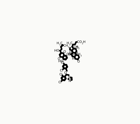 CC(C)=CC[C@H](O)C1=CC(=O)c2c(O)ccc(O)c2C1=O.C[C@H](CCC(=O)O)[C@H]1CC[C@H]2[C@@H]3C(=O)C[C@@H]4CC(=O)CC[C@]4(C)[C@H]3CC(=O)[C@]12C.Clc1ccc(COC(Cn2ccnc2)c2ccc(Cl)cc2Cl)c(Cl)c1